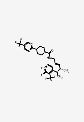 C[C@@H](/C=C/CNC(=O)N1CCC(c2ncc(C(F)(F)F)cn2)CC1)N(C)c1cn[nH]c(=O)c1C(F)(F)F